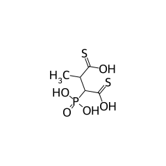 CC(C(O)=S)C(C(O)=S)P(=O)(O)O